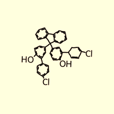 Oc1ccc(C2(c3ccc(O)c(C4C=CC(Cl)=CC4)c3)c3ccccc3-c3ccccc32)cc1-c1ccc(Cl)cc1